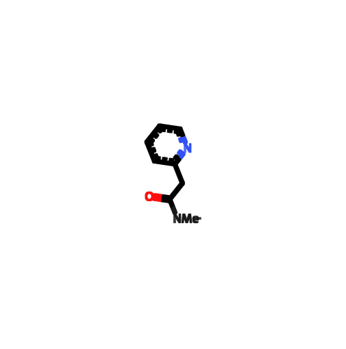 C[N]C(=O)Cc1ccccn1